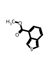 COC(=O)c1cccc2[c]scc12